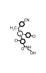 C[C@H](c1ccc(C#N)cc1)N1CCN(c2ccc(C(=O)NCCO)cc2Cl)[C@H](c2ccc(Cl)cc2)C1